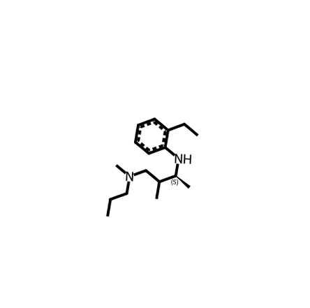 CCCN(C)CC(C)[C@H](C)Nc1ccccc1CC